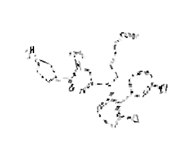 CCc1cccc(-c2c(Cl)cccc2N(CCCCOC)C(=O)CN(C)C(=O)[C@@H]2CC[C@H](N)C2)c1